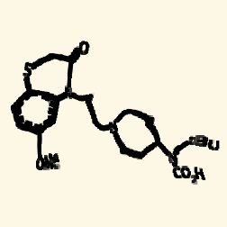 COc1ccc2c(c1)N(CCN1CCC(N(C(=O)O)C(C)(C)C)CC1)C(=O)CS2